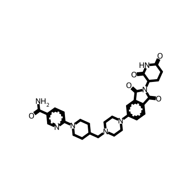 NC(=O)c1ccc(N2CCC(CN3CCN(c4ccc5c(c4)C(=O)N(C4CCC(=O)NC4=O)C5=O)CC3)CC2)nc1